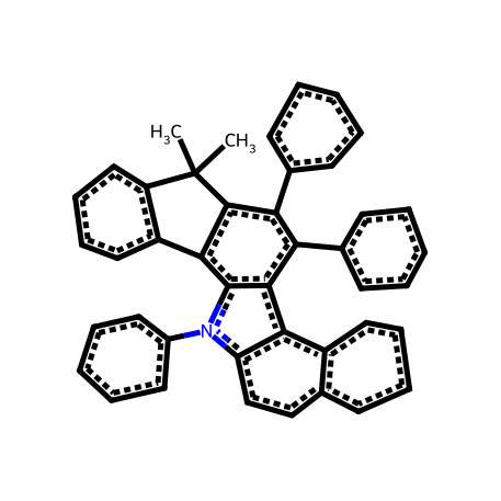 CC1(C)c2ccccc2-c2c1c(-c1ccccc1)c(-c1ccccc1)c1c3c4ccccc4ccc3n(-c3ccccc3)c21